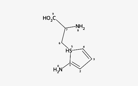 NC1=CC=C[SH]1CC(N)C(=O)O